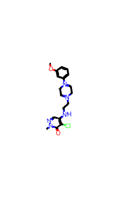 COc1cccc(N2CCN(CCNc3cnn(C)c(=O)c3Cl)CC2)c1